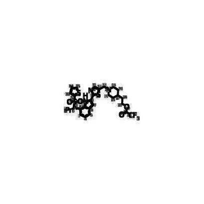 CC(C)N(c1cccc2cc(-c3ncc(CN4CCC(CCOC(=O)C(F)(F)F)CC4)s3)[nH]c12)S(=O)(=O)c1cccs1